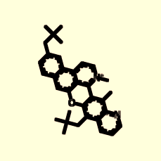 Cc1c2c(c(CC(C)(C)C)c3cccnc13)Oc1cc3ccc(CC(C)(C)C)cc3c3cc[n+](C)c-2c13